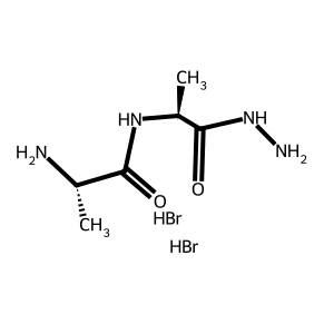 Br.Br.C[C@H](N)C(=O)N[C@@H](C)C(=O)NN